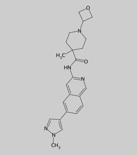 Cn1cc(-c2ccc3cnc(NC(=O)C4(C)CCN(C5COC5)CC4)cc3c2)cn1